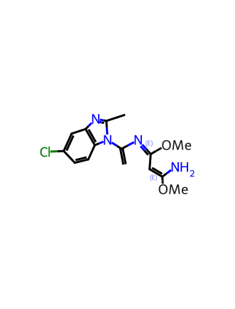 C=C(/N=C(\C=C(/N)OC)OC)n1c(C)nc2cc(Cl)ccc21